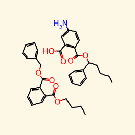 CCCCC(OC(=O)c1ccc(N)cc1C(=O)O)c1ccccc1.CCCCOC(=O)c1ccccc1C(=O)OCc1ccccc1